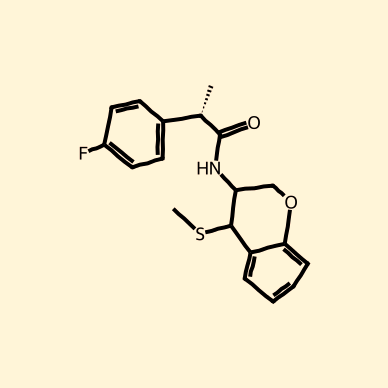 CSC1c2ccccc2OCC1NC(=O)[C@@H](C)c1ccc(F)cc1